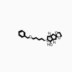 O[C@H]1[C@H](CCCCCOCc2ccccc2)C[C@H]2CC3(C[C@H]21)OCCO3